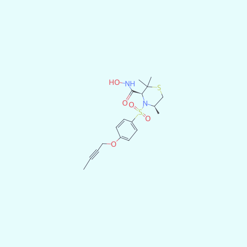 CC#CCOc1ccc(S(=O)(=O)N2[C@H](C)CSC(C)(C)[C@@H]2C(=O)NO)cc1